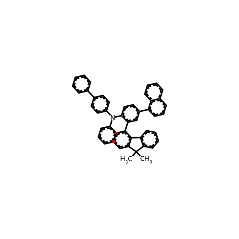 CC1(C)c2ccccc2-c2c(-c3cc(-c4cccc5ccccc45)ccc3N(c3ccccc3)c3ccc(-c4ccccc4)cc3)cccc21